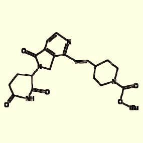 CC(C)(C)OC(=O)N1CCC(/C=C/c2nccc3c2CN(C2CCC(=O)NC2=O)C3=O)CC1